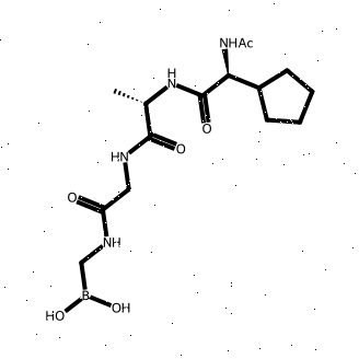 CC(=O)N[C@H](C(=O)N[C@@H](C)C(=O)NCC(=O)NCB(O)O)C1CCCC1